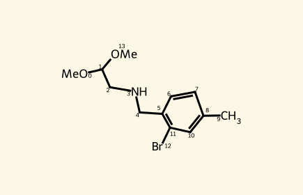 COC(CNCc1ccc(C)cc1Br)OC